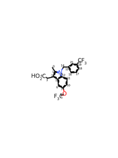 Cc1c(CC(=O)O)c2cc(OC(F)(F)F)ccc2n1Cc1cccc(C(F)(F)F)c1